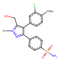 CCn1nc(-c2ccc(S(N)(=O)=O)cc2)c(-c2ccc(OC)c(F)c2)c1CO